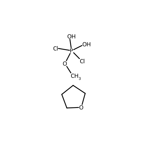 C1CCOC1.COP(O)(O)(Cl)Cl